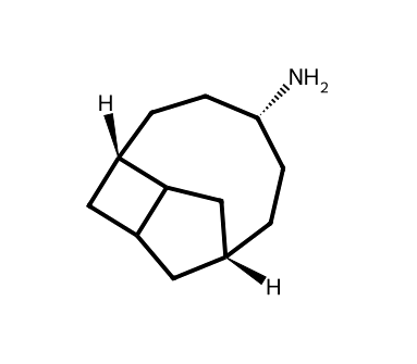 N[C@@H]1CC[C@@H]2CC3C[C@H](CC1)C3C2